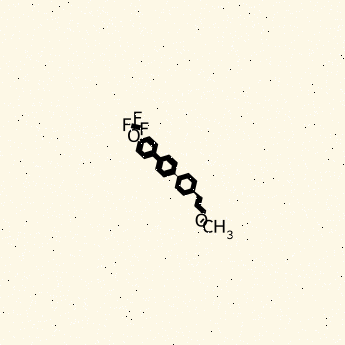 COCC=C[C@H]1CC[C@H](c2ccc(-c3ccc(OC(F)(F)F)cc3)cc2)CC1